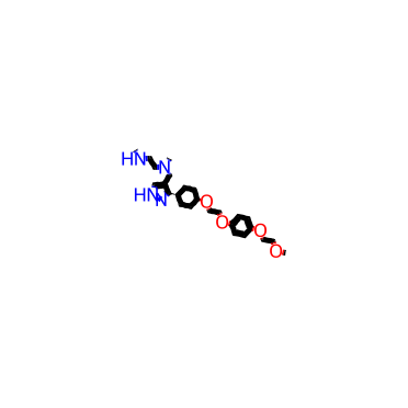 CNCCN(C)Cc1c[nH]nc1[C@H]1CC[C@H](OCCOc2ccc(OCCOC)cc2)CC1